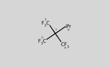 CC(C)C(C(F)(F)F)(C(F)(F)F)C(F)(F)F